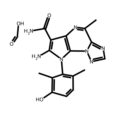 Cc1ccc(O)c(C)c1-n1c(N)c(C(N)=O)c2nc(C)c3ncnn3c21.O=CO